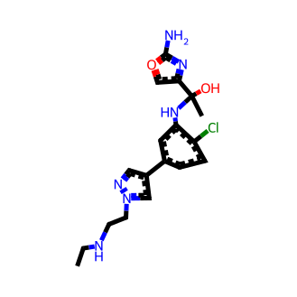 CCNCCn1cc(-c2ccc(Cl)c(NC(C)(O)c3coc(N)n3)c2)cn1